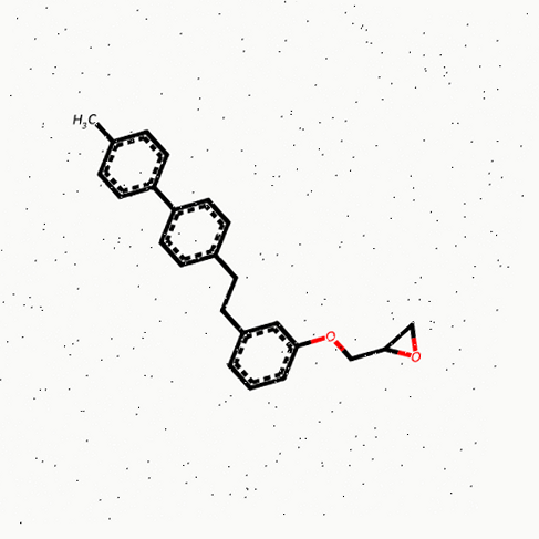 Cc1ccc(-c2ccc(CCc3cccc(OCC4CO4)c3)cc2)cc1